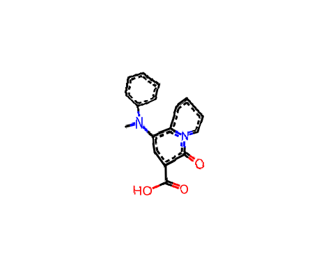 CN(c1ccccc1)c1cc(C(=O)O)c(=O)n2ccccc12